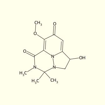 COc1c2n3c(cc1=O)C(O)CN3C(C)(C)N(C)C2=O